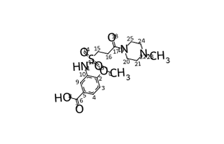 COc1ccc(C(=O)O)cc1NS(=O)(=O)CCC(=O)N1CCN(C)CC1